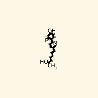 CC(O)CCCC=Cc1ccc(-c2ccc(O)cc2F)nc1